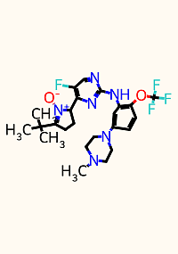 CN1CCN(c2ccc(OC(F)(F)F)c(Nc3ncc(F)c(C4CCC(C(C)(C)C)=[N+]4[O-])n3)c2)CC1